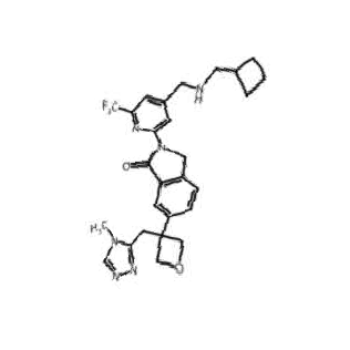 Cn1cnnc1CC1(c2ccc3c(c2)C(=O)N(c2cc(CNCC4CCC4)cc(C(F)(F)F)n2)C3)COC1